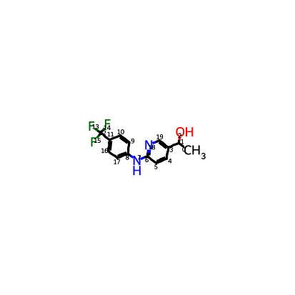 CC(O)c1ccc(Nc2ccc(C(F)(F)F)cc2)nc1